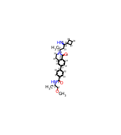 COC[C@H](C)NC(=O)c1ccc(-c2ccc3c(c2)CCN([C@H](C)CC(=N)C2CCC2)C3=O)cc1